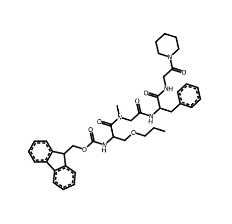 CCCOCC(NC(=O)OCC1c2ccccc2-c2ccccc21)C(=O)N(C)CC(=O)NC(Cc1ccccc1)C(=O)NCC(=O)N1CCCCC1